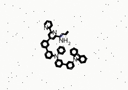 C=C/C=C(\N)c1cc(-c2cccc(-c3cccc(N(c4ccccc4)c4cccc(-c5cccc(-n6c7ccccc7c7ccccc76)c5)c4)c3)c2)cc(-c2ccccn2)n1